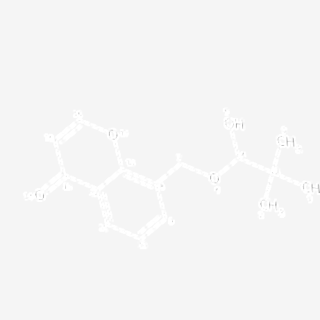 CC(C)(C)C(O)OCc1cccc2c(=O)ccoc12